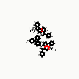 CC1CCC(c2ccc(N(C=C(c3ccccc3)c3ccccc3)c3ccc4c(c3)C(C)(C)c3ccccc3-4)cc2)(c2ccc(N(C=C(c3ccccc3)c3ccccc3)c3ccc4c(c3)C(C)(C)c3ccccc3-4)cc2)CC1